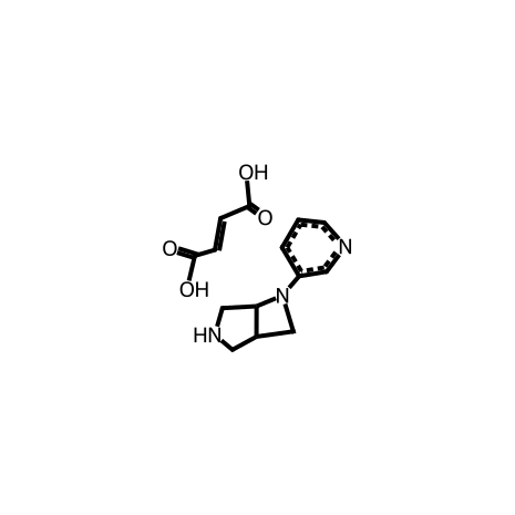 O=C(O)C=CC(=O)O.c1cncc(N2CC3CNCC32)c1